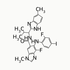 Cc1ccc2[nH]c(C(NC(=O)c3cc4c(ncn4C)c(F)c3Nc3ccc(I)cc3F)C(C)C)nc2c1